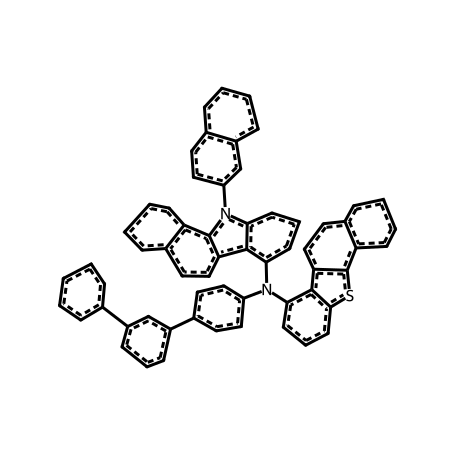 c1ccc(-c2cccc(-c3ccc(N(c4cccc5sc6c7ccccc7ccc6c45)c4cccc5c4c4ccc6ccccc6c4n5-c4ccc5ccccc5c4)cc3)c2)cc1